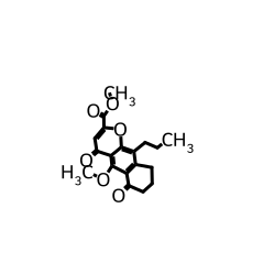 CCCc1c2c(c(OC)c3c(=O)cc(C(=O)OC)oc13)C(=O)CCC2